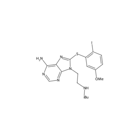 CCC(C)NCCn1c(Sc2cc(OC)ccc2I)nc2c(N)ncnc21